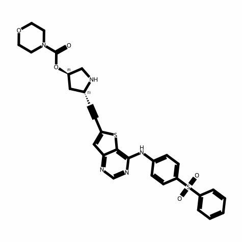 O=C(O[C@H]1CN[C@H](C#Cc2cc3ncnc(Nc4ccc(S(=O)(=O)c5ccccc5)cc4)c3s2)C1)N1CCOCC1